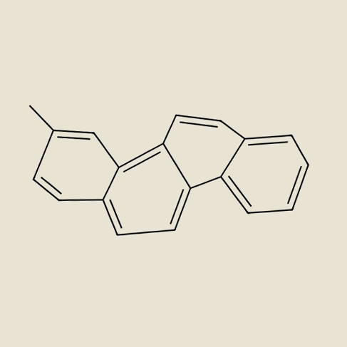 Cc1ccc2ccc3c4ccccc4ccc3c2c1